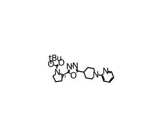 CC(C)(C)OC(=O)N1CCC[C@@H]1c1nnc(C2CCN(c3ccccn3)CC2)o1